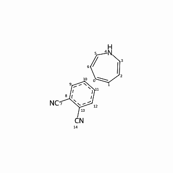 C1=CC=CNC=C1.N#Cc1ccccc1C#N